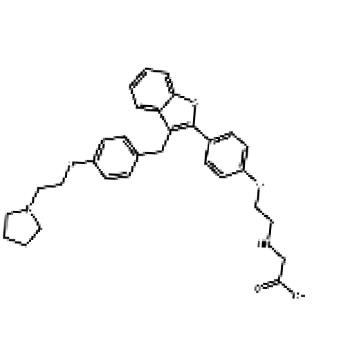 O=C(O)CNCCOc1ccc(-c2sc3ccccc3c2Cc2ccc(OCCN3CCCC3)cc2)cc1